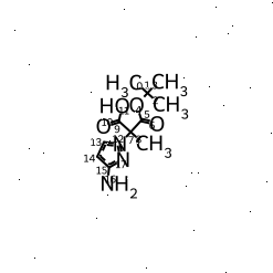 CC(C)(C)OC(=O)C(C)(C(=O)O)n1ccc(N)n1